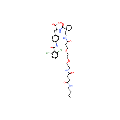 CCCCNC(=O)CCC(=O)NCCOCCOCCC(=O)NCCC1(C(=O)N[C@@H](Cc2ccc(NC(=O)c3c(Cl)cccc3Cl)cc2)C(=O)O)CCCC1